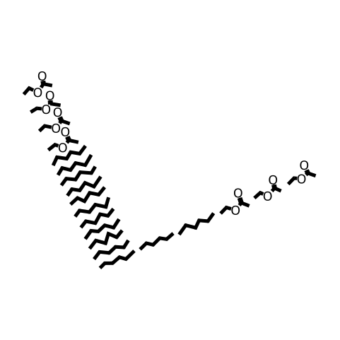 CCCCCC.CCCCCC.CCCCCC.CCCCCC.CCCCCC.CCCCCC.CCCCCC.CCCCCC.CCCCCC.CCCCCC.CCCCCC.CCCCCC.CCCCCC.CCOC(C)=O.CCOC(C)=O.CCOC(C)=O.CCOC(C)=O.CCOC(C)=O.CCOC(C)=O.CCOC(C)=O